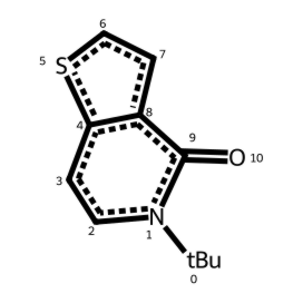 CC(C)(C)n1ccc2sccc2c1=O